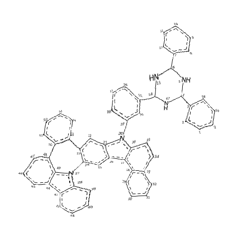 c1ccc(C2NC(c3ccccc3)NC(c3cccc(-n4c5cc6c(cc5c5c7ccccc7ccc54)-n4c5ccccc5c5cccc(c54)-c4ccccc4-6)c3)N2)cc1